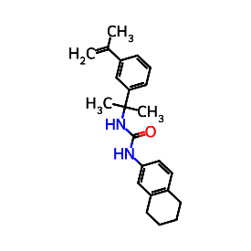 C=C(C)c1cccc(C(C)(C)NC(=O)Nc2ccc3c(c2)CCCC3)c1